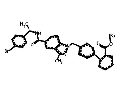 Cc1nn(Cc2ccc(-c3ccccc3C(=O)OC(C)(C)C)cc2)c2ccc(C(=O)N[C@@H](C)c3ccc(Br)cc3)cc12